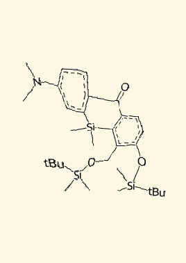 CN(C)c1ccc2c(c1)[Si](C)(C)c1c(ccc(O[Si](C)(C)C(C)(C)C)c1CO[Si](C)(C)C(C)(C)C)C2=O